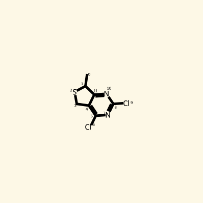 CC1SCc2c(Cl)nc(Cl)nc21